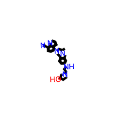 CC1CN(c2ccc(C#N)c3ncccc23)CC2c3ccc(NCCN4CCC(O)C4)cc3CN12